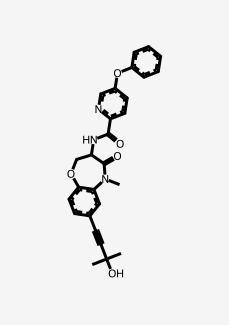 CN1C(=O)C(NC(=O)c2ccc(Oc3ccccc3)cn2)COc2ccc(C#CC(C)(C)O)cc21